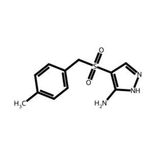 Cc1ccc(CS(=O)(=O)c2cn[nH]c2N)cc1